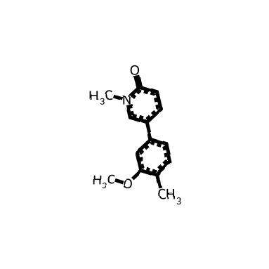 COc1cc(-c2ccc(=O)n(C)c2)ccc1C